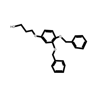 OCCCOc1ccc(OCc2ccccc2)c(OCc2ccccc2)c1